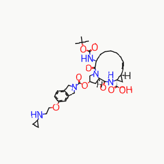 CC(C)(C)OC(=O)N[C@H]1CCCCC/C=C\[C@@H]2C[C@@]2(C(=O)O)NC(=O)[C@@H]2C[C@@H](OC(=O)N3Cc4ccc(OCCNC5CC5)cc4C3)CN2C1=O